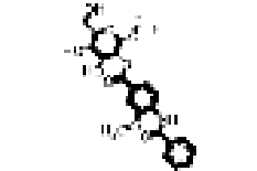 COc1cc(C(=O)O[C@H]2[C@@H](OC)O[C@H](CO)[C@@H](O)[C@@H]2O)ccc1NC(=O)c1ccccc1